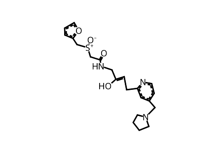 O=C(C[S+]([O-])Cc1ccco1)NC/C(O)=C/Cc1cc(CN2CCCC2)ccn1